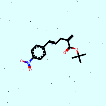 C=C(C/C=C/c1ccc([N+](=O)[O-])cc1)C(=O)OC(C)(C)C